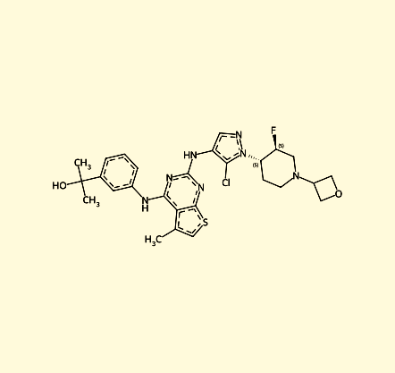 Cc1csc2nc(Nc3cnn([C@H]4CCN(C5COC5)C[C@@H]4F)c3Cl)nc(Nc3cccc(C(C)(C)O)c3)c12